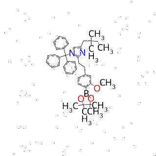 CCC(C)(C)Cc1cn(C(c2ccccc2)(c2ccccc2)c2ccccc2)c(CCc2ccc(B3OC(C)(C)C(C)(C)O3)c(OC)c2)n1